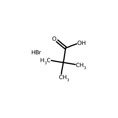 Br.CC(C)(C)C(=O)O